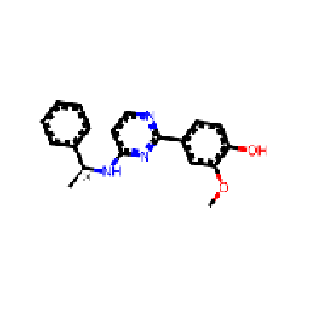 COc1cc(-c2nccc(N[C@@H](C)c3ccccc3)n2)ccc1O